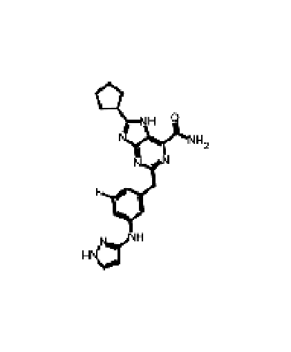 NC(=O)c1nc(Cc2cc(F)cc(Nc3cc[nH]n3)c2)nc2nc(C3CCCC3)[nH]c12